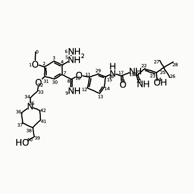 COc1cc(NN)c(C(=N)Oc2cccc(NC(=O)NC(=N)/C=C(\O)C(C)(C)C)c2)cc1OCCN1CCC(CO)CC1